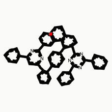 c1ccc(-c2cc(-c3ccccc3-c3ccc(-c4c(-c5nc(-c6ccccc6)nc(-c6ccccc6)n5)ccc5ccccc45)cc3)nc(-c3ccccc3)n2)cc1